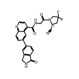 N#C[C@@H]1CC(F)(F)CN1C(=O)CNC(=O)c1ccnc2ccc(-c3ccc4c(c3)CNC4=O)cc12